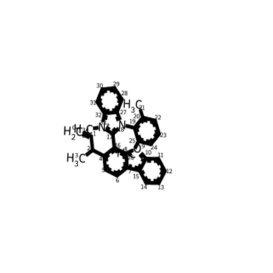 C=CC(C)c1ccc2c(oc3ccccc32)c1-c1n(-c2c(C)cccc2C)c2ccccc2[n+]1C